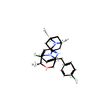 C[C@H]1CN(C2C[C@@H]3C[C@H](C2)N3c2cc(Cl)ccn2)[C@@H](Cc2ccc(Cl)cc2)CO1